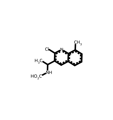 Cc1cccc2cc(C(C)NC(=O)O)c(Cl)nc12